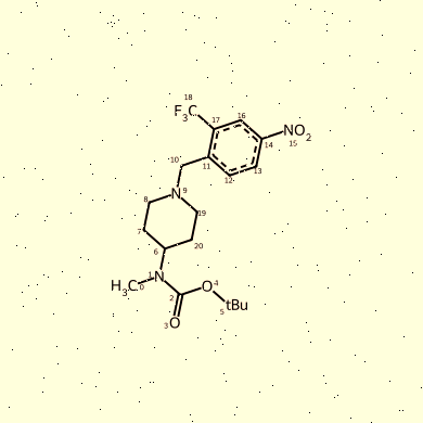 CN(C(=O)OC(C)(C)C)C1CCN(Cc2ccc([N+](=O)[O-])cc2C(F)(F)F)CC1